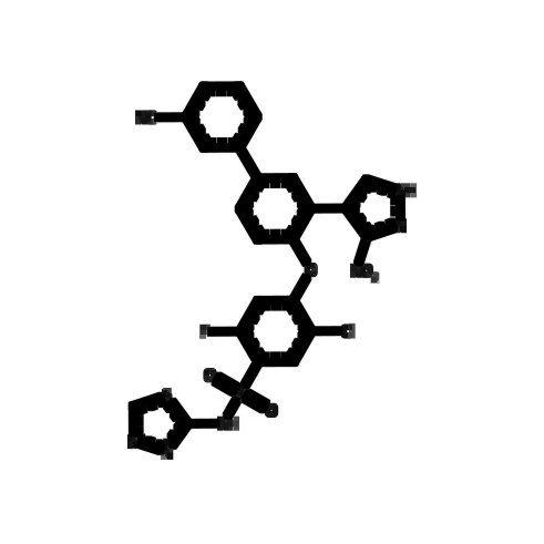 N#Cc1cccc(-c2ccc(Oc3cc(F)c(S(=O)(=O)Nc4nncs4)cc3Cl)c(-c3c[nH]nc3[N+](=O)[O-])c2)c1